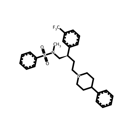 CN(C[C@H](CCN1CCC(c2ccccc2)CC1)c1cccc(C(F)(F)F)c1)S(=O)(=O)c1ccccc1